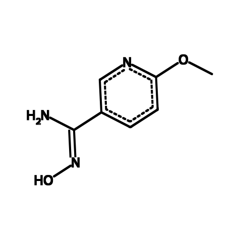 COc1ccc(/C(N)=N/O)cn1